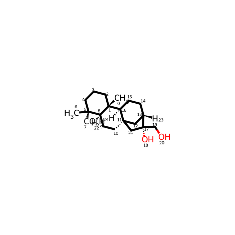 C[C@]12CCC[C@](C)(C(=O)O)[C@@H]1CC[C@@]13C[C@H](CC[C@@H]12)[C@@](O)(CO)C3